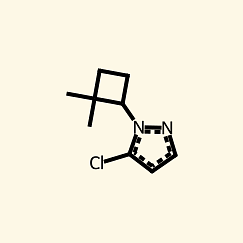 CC1(C)CCC1n1nccc1Cl